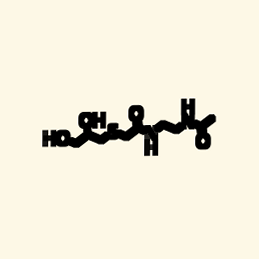 CC(=O)NCCNC(=O)CSCC(O)CO